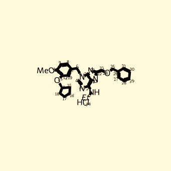 CCNc1ncn(Cc2ccc(OC)c(OC3CCCC3)c2)c2nc(COCc3ccccc3)nc1-2.Cl